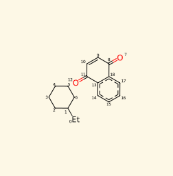 CCC1CCCCC1.O=C1C=CC(=O)c2ccccc21